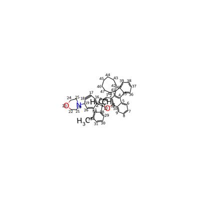 C=Cc1c2c(c3ccccc3c1OC(C)(C1=CC#CC(N3CCOCC3)C=C1)c1cccc(C)c1)-c1ccccc1C21CCCCCCC1